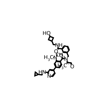 C[C@H](C=O)N(Cc1cccc(C(=O)NCC2CC(O)C2)c1)C(=O)c1ccc(-c2ccnc(NCC3CC3)c2)cc1N(C)C